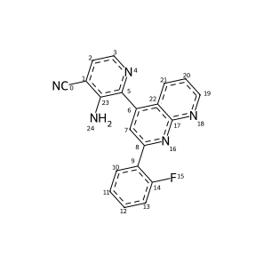 N#Cc1ccnc(-c2cc(-c3ccccc3F)nc3ncccc23)c1N